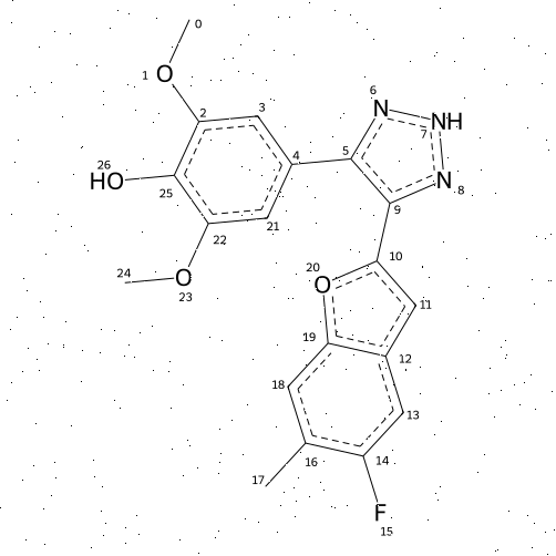 COc1cc(-c2n[nH]nc2-c2cc3cc(F)c(C)cc3o2)cc(OC)c1O